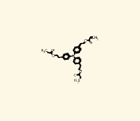 C=CC(=O)OCCc1ccc(N(c2ccc(CCOC(=O)CC)cc2)c2ccc(CCOC(=O)CC)cc2)cc1